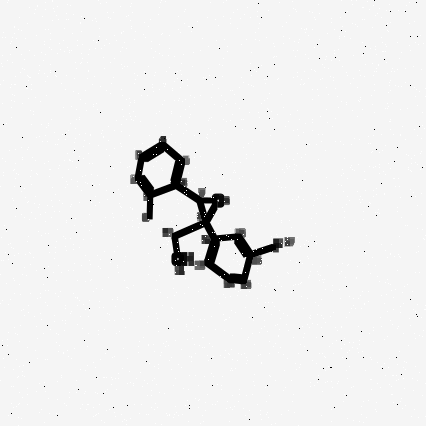 Cc1ccccc1C1OC1(CO)c1cccc(F)c1